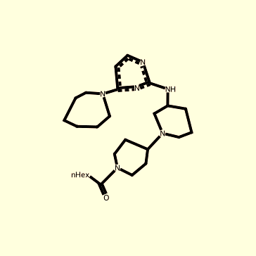 CCCCCCC(=O)N1CCC(N2CCCC(Nc3nccc(N4CCCCCC4)n3)C2)CC1